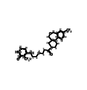 C[C@@H](COCCC(=O)N1CCN2c3ncc(C(F)(F)F)cc3COCC2C1)Nc1cn[nH]c(=O)c1C(F)(F)F